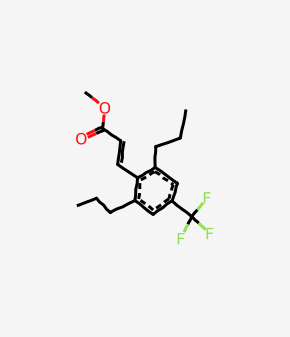 CCCc1cc(C(F)(F)F)cc(CCC)c1/C=C/C(=O)OC